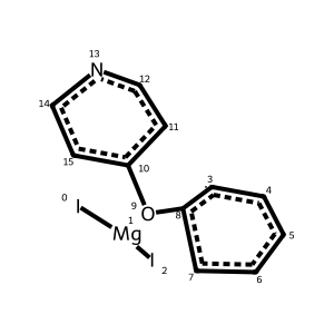 [I][Mg][I].[c]1ccccc1Oc1ccncc1